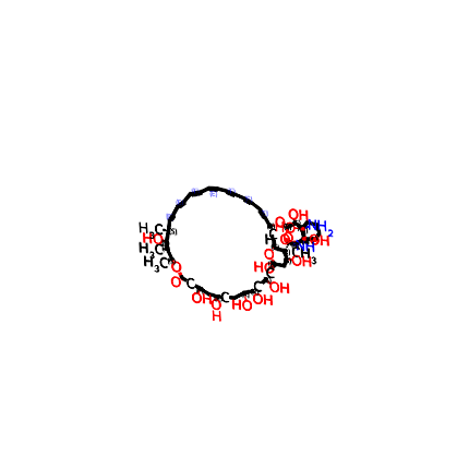 C[C@@H]1[C@H](O)[C@@H](C)/C=C/C=C/C=C/C=C/C=C/C=C/C=C/[C@H](O[C@@H]2O[C@H](C)[C@@H](O)[C@H](N)[C@@H]2O)C[C@@H]2O[C@](O)(C[C@@H](O)C[C@@H](O)[C@H](O)CC[C@@H](O)C[C@@H](O)CC(=O)O[C@H]1C)C[C@H](O)[C@H]2C(=O)N[C@H]1CCCC[C@H]1O